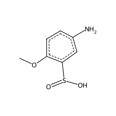 COc1ccc(N)cc1S(=O)O